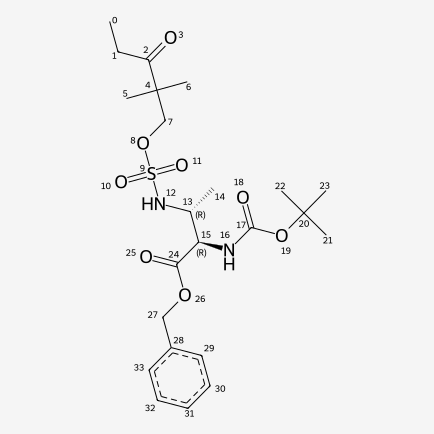 CCC(=O)C(C)(C)COS(=O)(=O)N[C@H](C)[C@@H](NC(=O)OC(C)(C)C)C(=O)OCc1ccccc1